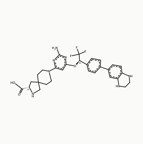 Nc1nc(O[C@H](c2ccc(-c3ccc4c(c3)NCCN4)cc2)C(F)(F)F)cc(N2CCC3(CC2)CN[C@H](C(=O)O)C3)n1